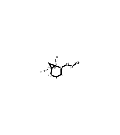 SSSN1CCO[C@H]2C[C@H]21